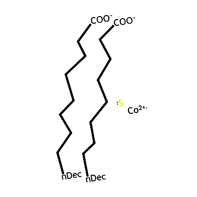 CCCCCCCCCCCCCCCCCC(=O)[O-].CCCCCCCCCCCCCCCCCC(=O)[O-].[Co+2].[S]